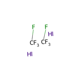 FC(F)(F)F.FC(F)(F)F.I.I